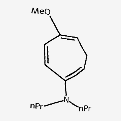 CCCN(CCC)C1=CCC=C(OC)C=C1